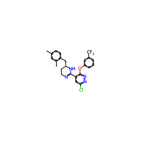 Cc1ccc(C[C@@H]2CCN=C(c3cc(Cl)nnc3Oc3cccc(C(F)(F)F)c3)N2)c(C)c1